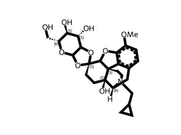 COc1ccc2c3c1OC1[C@]4(CC[C@@]5(O)[C@@H](C2)N(CC2CC2)CC[C@]315)OC1O[C@H](CO)[C@@H](O)[C@H](O)C1O4